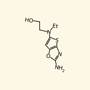 CCN(CCO)c1cc2oc(N)nc2s1